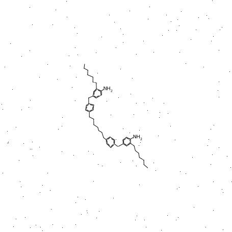 CCCCCCCc1cc(Cc2ccc(CCCCCCCc3ccc(Cc4ccc(N)c(CCCCCCC)c4)cc3)cc2)ccc1N